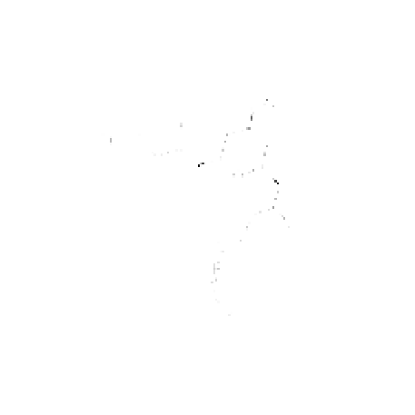 CCOC(=O)C[C@H](O)C[C@H]1C[C@@H](OC(C)=O)C[C@@H](C[C@@H](C)CCOB=[PH]=S)O1